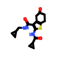 O=C1CCc2sc(NC(=O)C3CC3)c(C(=O)NCC3CC3)c2C1